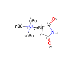 CCCC[N+](CCCC)(CCCC)CCCC.O=C1CCC(=O)[N-]1